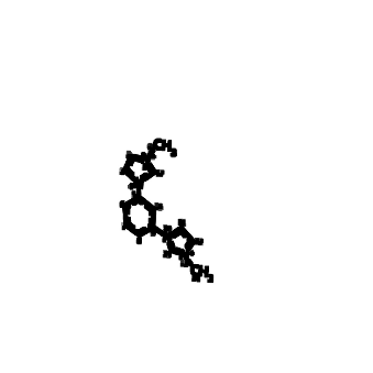 C[n+]1ccn(-c2cccc(-n3cc[n+](C)c3)c2)c1